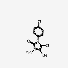 CCCn1c(C#N)c(Cl)n(-c2ccc(Cl)cc2)c1=O